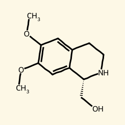 COc1cc2c(cc1OC)[C@@H](CO)NCC2